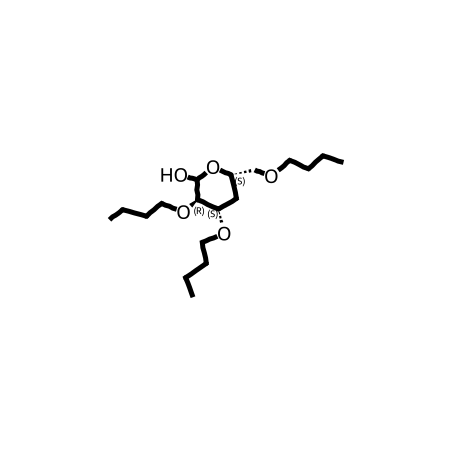 CCCCOC[C@@H]1C[C@H](OCCCC)[C@@H](OCCCC)C(O)O1